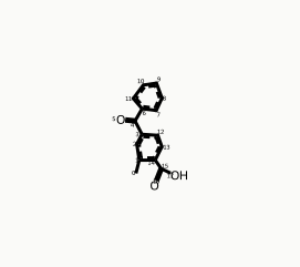 Cc1cc(C(=O)c2ccccc2)ccc1C(=O)O